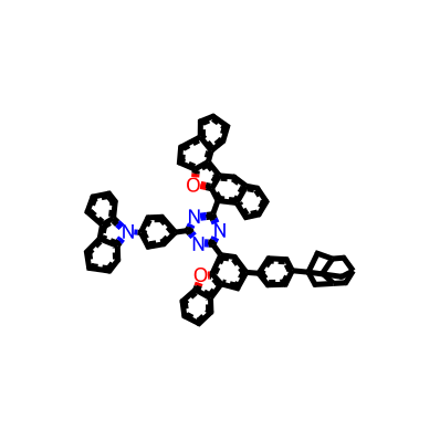 c1ccc2c(-c3nc(-c4ccc(-n5c6ccccc6c6ccccc65)cc4)nc(-c4cc(-c5ccc(C67CC8CC(CC(C8)C6)C7)cc5)cc5c4oc4ccccc45)n3)c3oc4ccc5ccccc5c4c3cc2c1